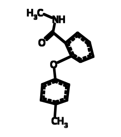 CNC(=O)c1ccccc1Oc1ccc(C)cc1